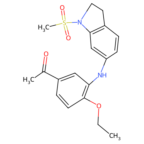 CCOc1ccc(C(C)=O)cc1Nc1ccc2c(c1)N(S(C)(=O)=O)CC2